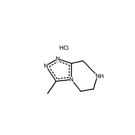 Cc1nnc2n1CCNC2.Cl